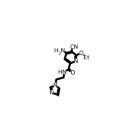 CCOc1nc(C(=O)NCCn2ccnc2)cc(N)c1C#N